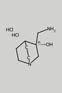 Cl.Cl.NC[C@@]1(O)CN2CCC1CC2